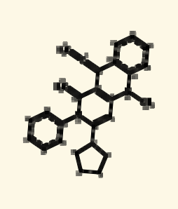 C=C=C1C2=C(C=C(C3CCCC3)N(c3ccccc3)C2=C)N(C)c2ccccc21